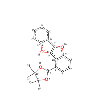 CC1(C)OB(c2cccc3oc4c5ccccc5oc4c23)OC1(C)C